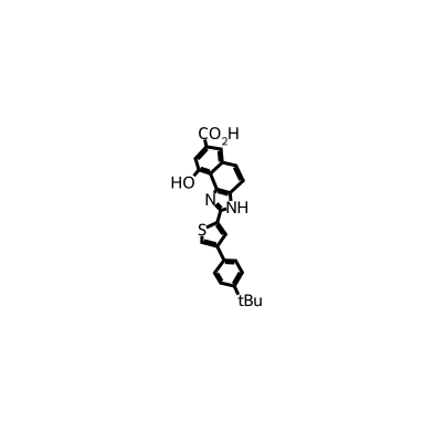 CC(C)(C)c1ccc(-c2csc(-c3nc4c(ccc5cc(C(=O)O)cc(O)c54)[nH]3)c2)cc1